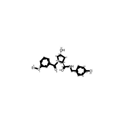 CCOc1cccc(C(=O)N2C[C@H](O)C[C@H]2C(=O)NCc2ccc(Cl)cc2)c1